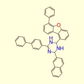 c1ccc(-c2ccc(C3=NC(c4ccc5ccccc5c4)NC(c4cccc5oc6c(-c7ccccc7)cccc6c45)N3)cc2)cc1